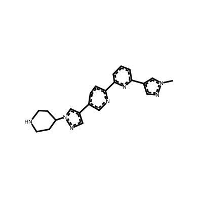 Cn1cc(-c2cccc(-c3ccc(-c4cnn(C5CCNCC5)c4)cn3)n2)cn1